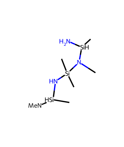 CN[SiH](C)N[Si](C)(C)N(C)[SiH](C)N